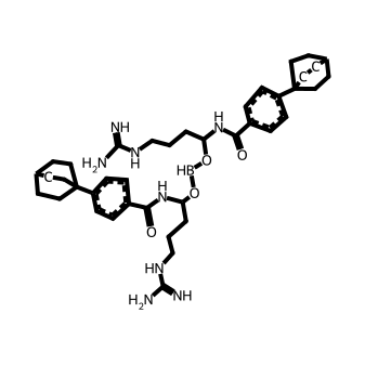 N=C(N)NCCCC(NC(=O)c1ccc(C23CCC(CC2)CC3)cc1)OBOC(CCCNC(=N)N)NC(=O)c1ccc(C23CCC(CC2)CC3)cc1